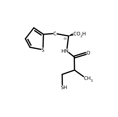 CC(CS)C(=O)N[C@@H](Cc1cccs1)C(=O)O